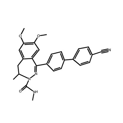 CNC(=O)N1N=C(c2ccc(-c3ccc(C#N)cc3)cc2)c2cc(OC)c(OC)cc2CC1C